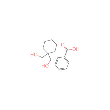 O=C(O)c1ccccc1.OCC1(CO)CCCCC1